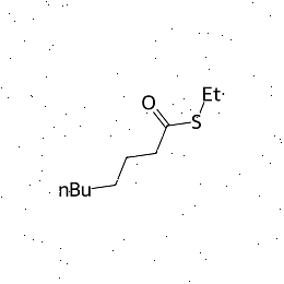 C[CH]SC(=O)CCCCCCC